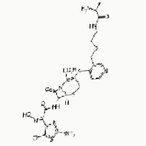 C[C@H](N)C(=O)NCCSCc1cnccc1SC1=C(C(=O)O)N2C(=O)[C@@H](NC(=O)/C(=N\O)c3nc(N)sc3Cl)[C@@H]2SC1